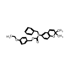 CCOc1ccc(COC(=O)N(Cc2ccccc2)c2ccc3c(c2)C=CC(C)(C)O3)cc1